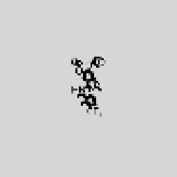 Cc1nc(NC(C)c2cccc(C(F)(F)F)c2C)c2cc(OP=O)c(OC3CCOC3)cc2n1